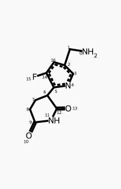 NCc1cnc(C2CCC(=O)NC2=O)c(F)c1